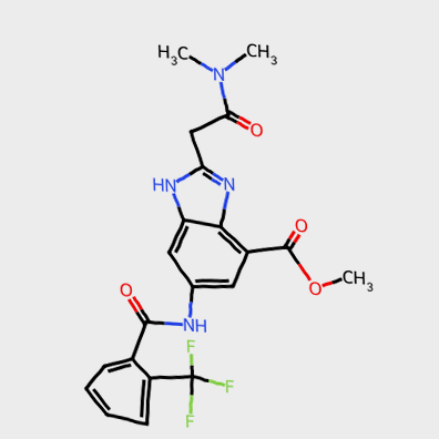 COC(=O)c1cc(NC(=O)c2ccccc2C(F)(F)F)cc2[nH]c(CC(=O)N(C)C)nc12